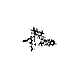 C#CCCC(NC(=O)[C@@H]1[C@@H]2[C@H](CN1C(=O)[C@@H](NC(=O)N[C@H](CN1Cc3ccccc3S1(=O)=O)C(C)(C)C)C(C)(C)C)C2(C)C)C(=O)C(=O)NCC=C